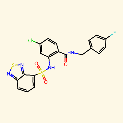 O=C(NCc1ccc(F)cc1)c1ccc(Cl)cc1NS(=O)(=O)c1cccc2nsnc12